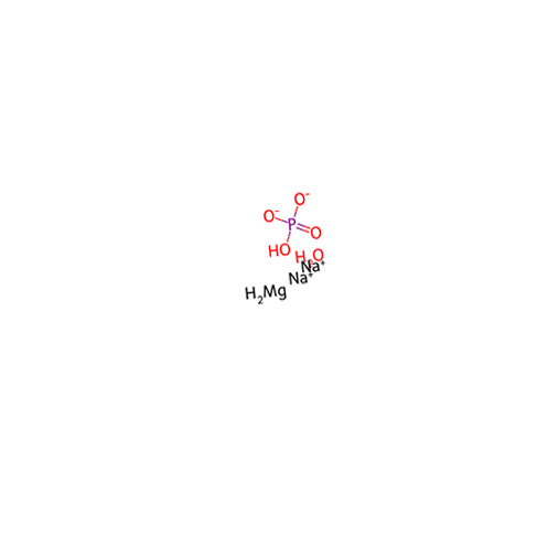 O.O=P([O-])([O-])O.[MgH2].[Na+].[Na+]